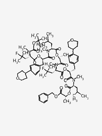 CC(C)C[C@@H](C(=O)O[C@H](C)C(=O)N(C)[C@@H](CC(C)(C)F)C(=O)O[C@H](Cc1ccc(C2CCOCC2)cc1)C(=O)N(C)[C@@H](CC(C)C)C(=O)O[C@H](C)C(=O)OCc1ccccc1)N(C)C(=O)[C@@H](Cc1ccc(C2CCOCC2)cc1)OC(=O)[C@H](CC(C)(C)F)N(C)C(=O)OC(C)(C)C